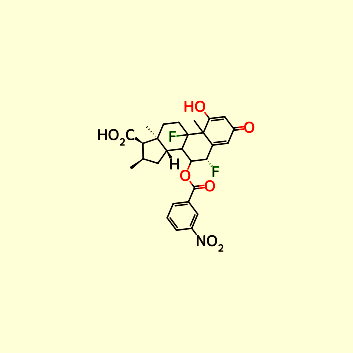 C[C@@H]1C[C@H]2C3C(OC(=O)c4cccc([N+](=O)[O-])c4)[C@@H](F)C4=CC(=O)C=C(O)C4(C)C3(F)CC[C@]2(C)[C@@H]1C(=O)O